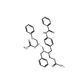 CC(=O)OC[C@H](Cc1ccc(NC(=O)c2ccccc2)cc1)N(Cc1ccccc1)C[C@@H](COc1ccccc1)OC(C)=O